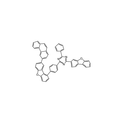 c1ccc(-c2nc(-c3ccc(-c4cccc5oc6ccc(-c7ccc8ccc9ccccc9c8c7)cc6c45)cc3)nc(-c3ccc4c(c3)oc3ccccc34)n2)cc1